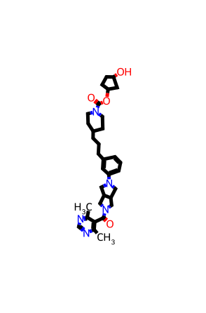 Cc1ncnc(C)c1C(=O)N1CC2CN(c3cccc(CCCC4CCN(C(=O)OC5CCC(O)C5)CC4)c3)CC2C1